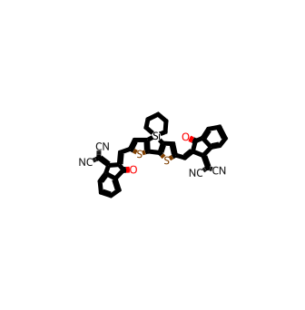 N#CC(C#N)=C1/C(=C/c2cc3c(s2)-c2sc(/C=C4\C(=O)c5ccccc5C4=C(C#N)C#N)cc2[Si]32CCCCC2)C(=O)c2ccccc21